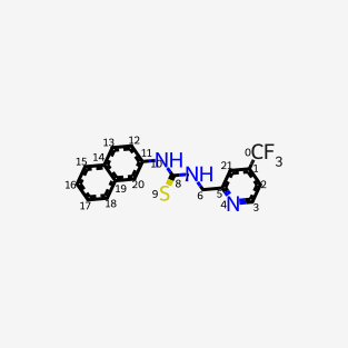 FC(F)(F)c1ccnc(CNC(=S)Nc2ccc3ccccc3c2)c1